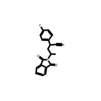 CC(CC(C#N)c1ccc(F)cc1)N1C(=O)c2ccccc2C1=O